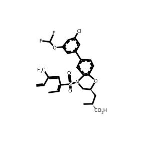 C=C/C(=C\C(=C/C)S(=O)(=O)N1C[C@H](C[C@@H](C)C(=O)O)Oc2ccc(-c3cc(Cl)cc(OC(F)F)c3)cc21)C(F)(F)F